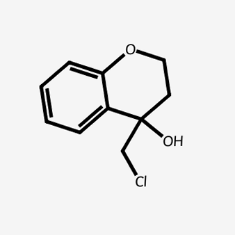 OC1(CCl)CCOc2ccccc21